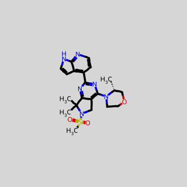 C[C@@H]1COCCN1c1nc(-c2ccnc3[nH]ccc23)nc2c1CN(S(C)(=O)=O)C2(C)C